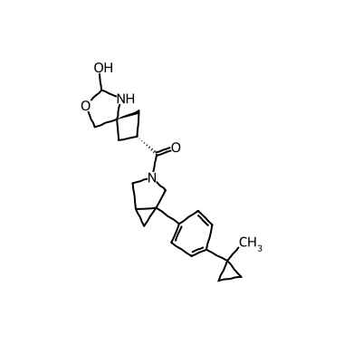 CC1(c2ccc(C34CC3CN(C(=O)[C@H]3C[C@]5(COC(O)N5)C3)C4)cc2)CC1